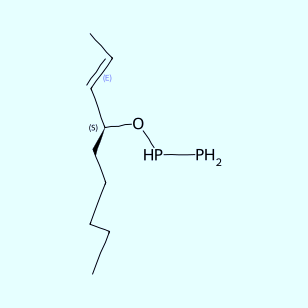 C/C=C/[C@H](CCCCC)OPP